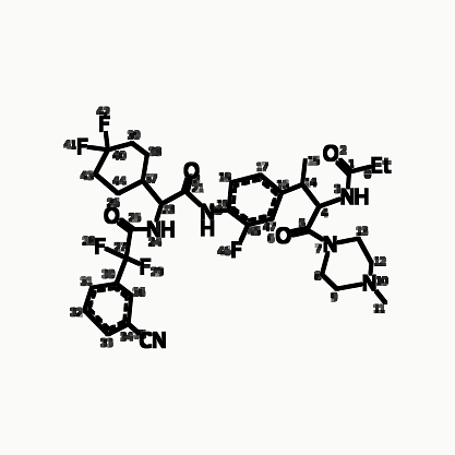 CCC(=O)NC(C(=O)N1CCN(C)CC1)C(C)c1ccc(NC(=O)C(NC(=O)C(F)(F)c2cccc(C#N)c2)C2CCC(F)(F)CC2)c(F)c1